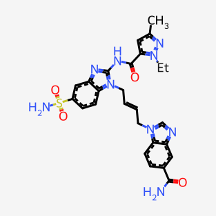 CCn1nc(C)cc1C(=O)Nc1nc2cc(S(N)(=O)=O)ccc2n1CC=CCn1cnc2cc(C(N)=O)ccc21